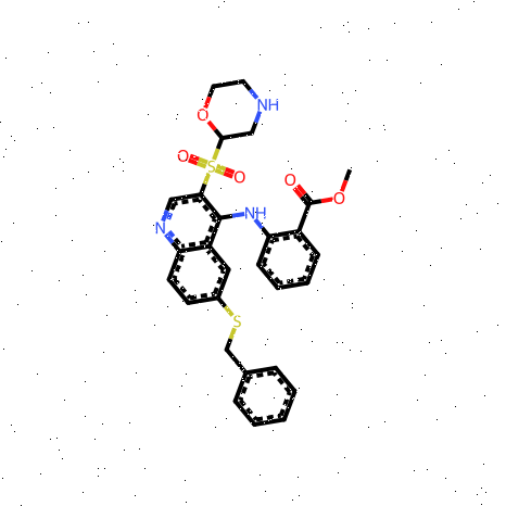 COC(=O)c1ccccc1Nc1c(S(=O)(=O)C2CNCCO2)cnc2ccc(SCc3ccccc3)cc12